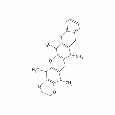 CC1C2=C(OC3=C(C2)C(C)C2=C(OCCO2)C3C)C(C)C2=C1Cc1ccccc1S2